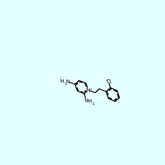 Nc1cc[n+](CCc2ccccc2Cl)c(N)c1